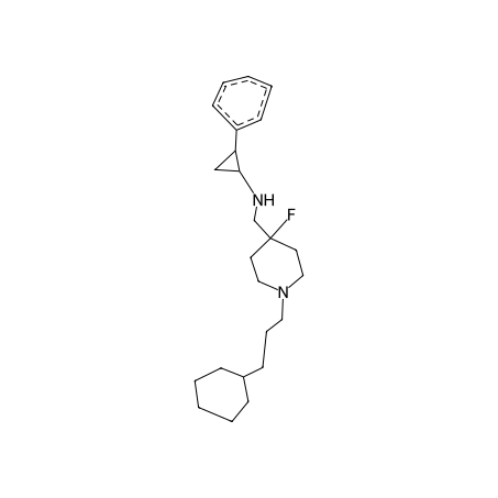 FC1(CNC2CC2c2ccccc2)CCN(CCCC2CCCCC2)CC1